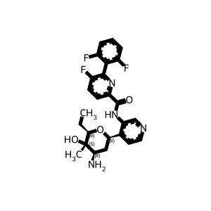 CC[C@H]1O[C@@H](c2ccncc2NC(=O)c2ccc(F)c(-c3c(F)cccc3F)n2)C[C@@H](N)[C@]1(C)O